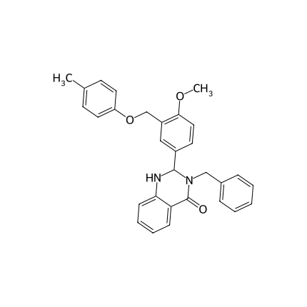 COc1ccc(C2Nc3ccccc3C(=O)N2Cc2ccccc2)cc1COc1ccc(C)cc1